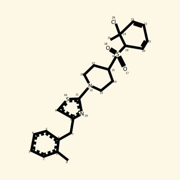 Cc1ccccc1Cc1csc(N2CCC(S(=O)(=O)C3C=CC=CC3(C)Cl)CC2)n1